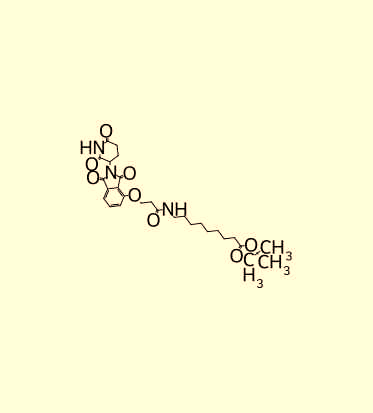 CC(C)(C)OC(=O)CCCCCCCCNC(=O)CCOc1cccc2c1C(=O)N(C1CCC(=O)NC1=O)C2=O